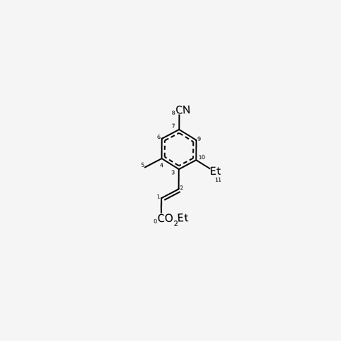 CCOC(=O)C=Cc1c(C)cc(C#N)cc1CC